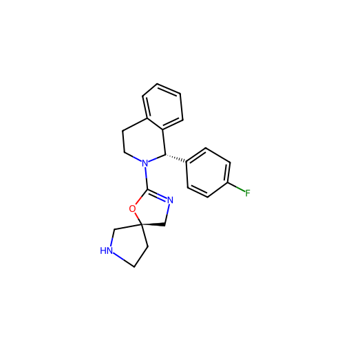 Fc1ccc([C@H]2c3ccccc3CCN2C2=NC[C@]3(CCNC3)O2)cc1